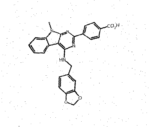 Cn1c2ccccc2c2c(NCc3ccc4c(c3)OCO4)nc(-c3ccc(C(=O)O)cc3)nc21